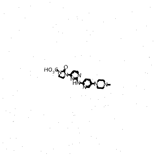 CN1CCN(c2ccc(Nc3nccc(N4CCN(C(=O)O)C4=O)n3)nc2)CC1